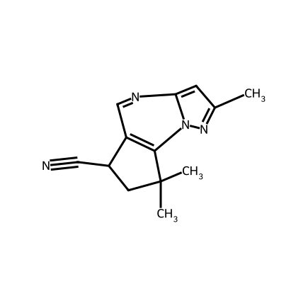 Cc1cc2ncc3c(n2n1)C(C)(C)CC3C#N